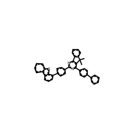 CC1(C)c2ccccc2-c2nc(-c3ccc(-c4cccc5c4sc4ccccc45)cc3)nc(-c3ccc(-c4ccccc4)cc3)c21